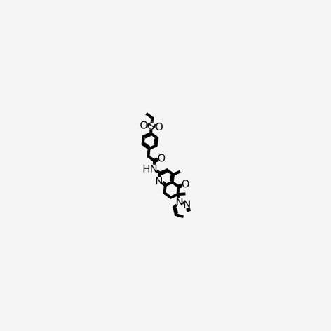 C=NN(/C=C\C)C1(C)CCc2nc(NC(=O)Cc3ccc(S(=O)(=O)CC)cc3)cc(C)c2C1=O